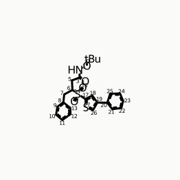 CC(C)(C)ONC(=O)CC(Cc1ccccc1)S(=O)(=O)c1cc(-c2ccccc2)cs1